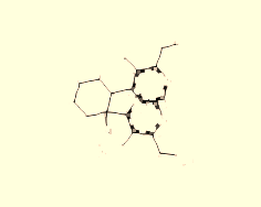 CCc1ncnc(C2CCCCC2(N)c2ncnc(CC)c2Cl)c1Cl.N